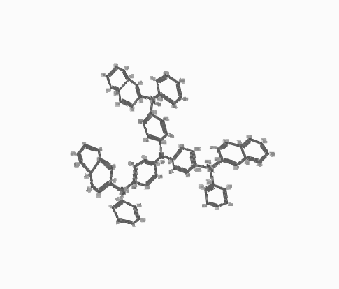 C1=CC2=CC(N(c3ccccc3)c3ccc(N(c4ccc(N(c5ccccc5)c5ccc6ccccc6c5)cc4)c4ccc(N(c5ccccc5)c5ccc6ccccc6c5)cc4)cc3)=CCC2C=C1